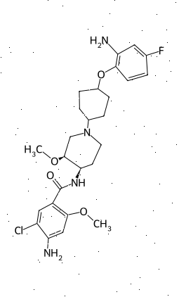 COc1cc(N)c(Cl)cc1C(=O)N[C@@H]1CCN(C2CCC(Oc3ccc(F)cc3N)CC2)C[C@@H]1OC